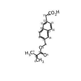 C=C(C)C(=O)OCc1ccc2cc(CC(=O)O)ccc2c1